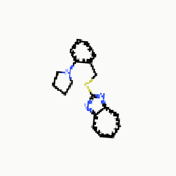 c1ccc2nc(SCc3ccccc3N3CCCC3)nc-2cc1